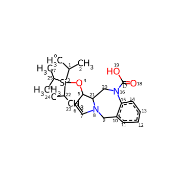 CC(C)[Si](OC1C=CN2Cc3ccccc3N(C(=O)O)CC12)(C(C)C)C(C)C